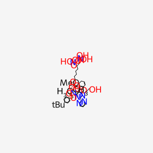 COC1CC=CC=C1Oc1c(OCCO)nc(-c2ncccn2)nc1N(C(C)(C)OC(=O)OCCCCCC(CON(O)O)ON(O)O)S(=O)(=O)c1ccc(C(C)(C)C)cc1